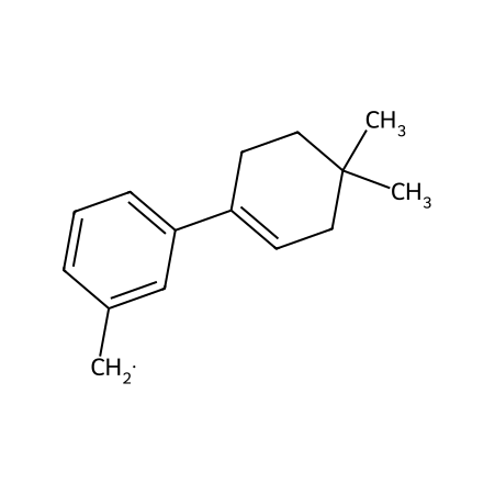 [CH2]c1cccc(C2=CCC(C)(C)CC2)c1